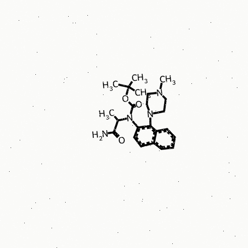 CC(C(N)=O)N(C(=O)OC(C)(C)C)c1ccc2ccccc2c1N1CCN(C)CC1